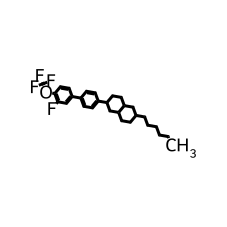 CCCCCCC1CCC2CC(c3ccc(-c4ccc(OC(F)(F)F)c(F)c4)cc3)CCC2C1